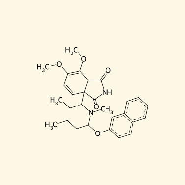 CCCC(Oc1ccc2ccccc2c1)N(C)C(CC)C12C=CC(OC)=C(OC)C1C(=O)NC2=O